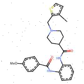 COc1ccc(C(=O)Nc2ccccc2NC(=O)C2CCN(Cc3sccc3C)CC2)cc1